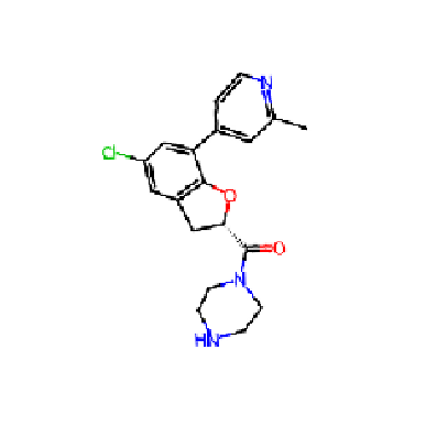 Cc1cc(-c2cc(Cl)cc3c2O[C@H](C(=O)N2CCNCC2)C3)ccn1